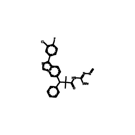 C=N/N=C(/NC(=O)C(C)(C)C(c1ccccc1)c1ccc2c(-c3ccc(F)c(Cl)c3)ncn2c1)SC